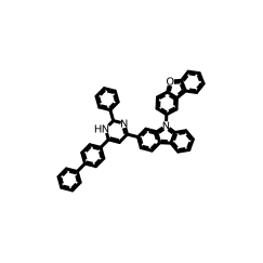 C1=C(c2ccc(-c3ccccc3)cc2)NC(c2ccccc2)N=C1c1ccc2c3ccccc3n(-c3ccc4oc5ccccc5c4c3)c2c1